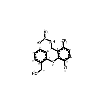 CC(C)(C)[S+]([O-])NCc1c(C(F)(F)F)ccc(Cl)c1Sc1ccccc1CO